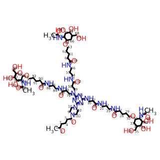 CC(=O)CCCC(=O)N1CCN(c2nc(NCCC(=O)NCCCNC(=O)CCCCOC3CC(CO)C(O)C(O)C3NC(C)=O)nc(N(CCC(=O)NCCCNC(=O)CCCCOC3CC(CO)C(O)C(O)C3NC(C)=O)CCC(=O)NCCCNC(=O)CCCCOC3OC(CO)C(O)C(O)C3NC(C)=O)n2)CC1